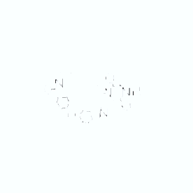 CCCCN1C(=O)[C@H](CC2CCCCC2)NC(=O)C12CCN(Cc1ccc(Oc3ccc(C(=O)N4CCCC4)cc3)cc1)CC2